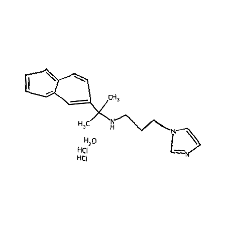 CC(C)(NCCCn1ccnc1)c1ccc2ccccc2c1.Cl.Cl.O